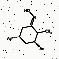 CC(=O)[C@@H]1CC(=NO)C(C)[C@@H](C(C)=O)C1